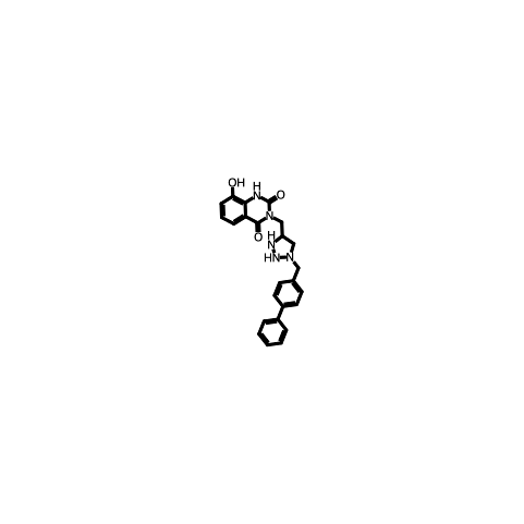 O=c1[nH]c2c(O)cccc2c(=O)n1CC1CN(Cc2ccc(-c3ccccc3)cc2)NN1